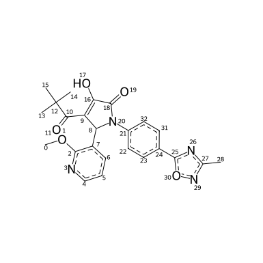 COc1ncccc1C1C(C(=O)C(C)(C)C)=C(O)C(=O)N1c1ccc(-c2nc(C)no2)cc1